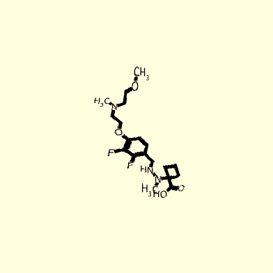 COCCN(C)CCOc1ccc(CNN(C)C2(C(=O)O)CCC2)c(F)c1F